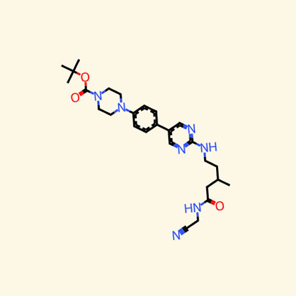 CC(CCNc1ncc(-c2ccc(N3CCN(C(=O)OC(C)(C)C)CC3)cc2)cn1)CC(=O)NCC#N